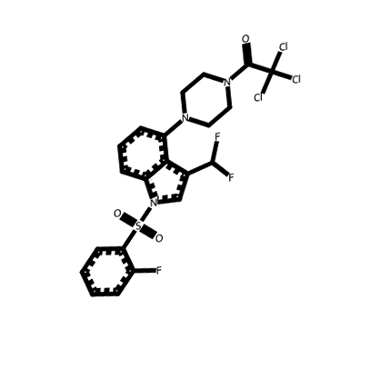 O=C(N1CCN(c2cccc3c2c(C(F)F)cn3S(=O)(=O)c2ccccc2F)CC1)C(Cl)(Cl)Cl